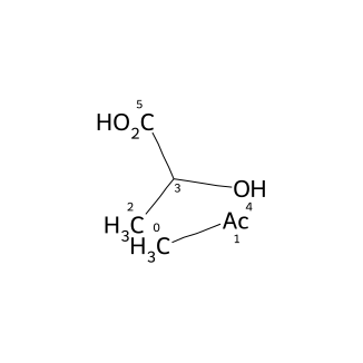 CC(C)=O.CC(O)C(=O)O